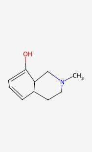 CN1CCC2C=CC=C(O)C2C1